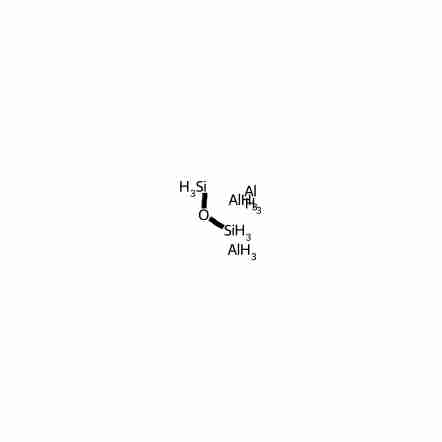 [AlH3].[AlH3].[AlH3].[SiH3]O[SiH3]